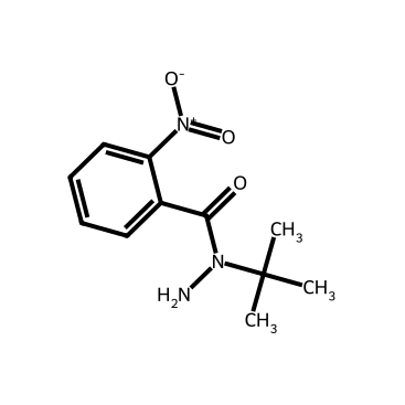 CC(C)(C)N(N)C(=O)c1ccccc1[N+](=O)[O-]